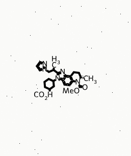 COC(=O)N1c2ccc3c(nc(C(C)Cn4cccn4)n3C3CCCC(C(=O)O)C3)c2CC[C@@H]1C